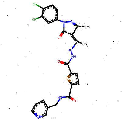 CC1=NN(c2ccc(Cl)c(Cl)c2)C(=O)/C1=C(/C)NNC(=O)c1ccc(C(=O)NCc2cccnc2)s1